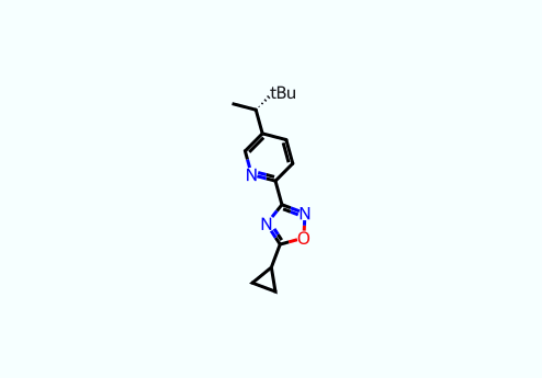 C[C@@H](c1ccc(-c2noc(C3CC3)n2)nc1)C(C)(C)C